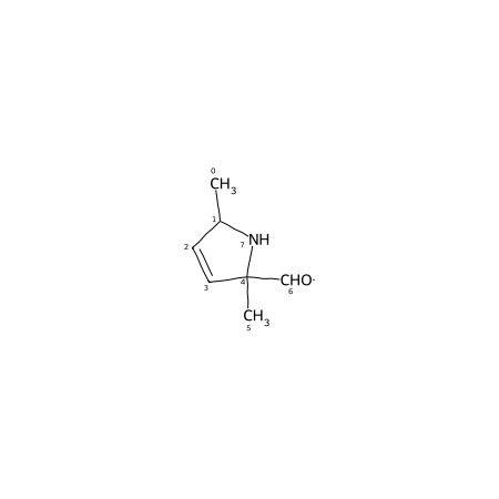 CC1C=CC(C)([C]=O)N1